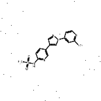 CCCc1cc(-n2cc(-c3ccc(NS(=O)(=O)C(F)(F)F)nc3)cn2)ccn1